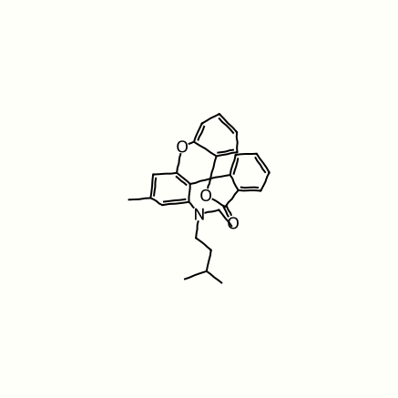 CCN(CCC(C)C)c1cc(C)cc2c1C1(OC(=O)c3ccccc31)c1ccccc1O2